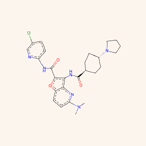 CN(C)c1ccc2oc(C(=O)Nc3ccc(Cl)cn3)c(NC(=O)[C@H]3CC[C@H](N4CCCC4)CC3)c2n1